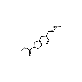 CNN=Cc1ccc2sc(C(=O)OC)cc2c1